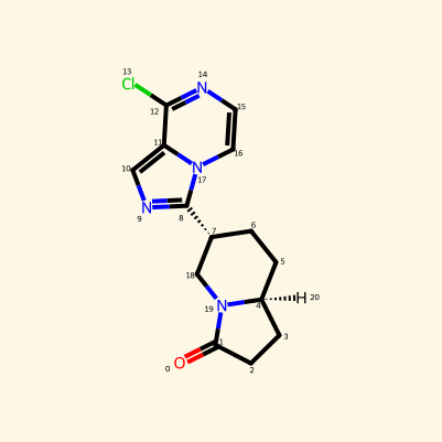 O=C1CC[C@@H]2CC[C@@H](c3ncc4c(Cl)nccn34)CN12